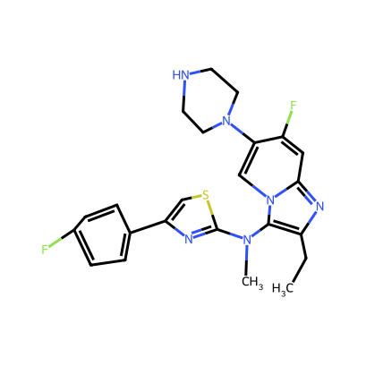 CCc1nc2cc(F)c(N3CCNCC3)cn2c1N(C)c1nc(-c2ccc(F)cc2)cs1